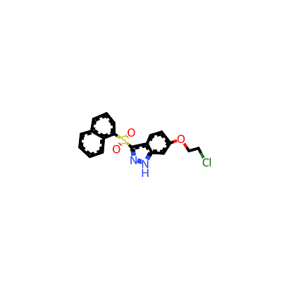 O=S(=O)(c1cccc2ccccc12)c1n[nH]c2cc(OCCCl)ccc12